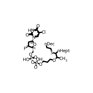 CCCCCCCCCCCCSC(CCCCCCC)C(C)OCCCOP(=O)(O)OP(=O)(O)OC[C@H]1O[C@@H](n2cc(Cl)c(=O)[nH]c2=O)C[C@@H]1F